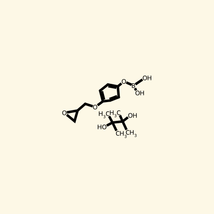 CC(C)(O)C(C)(C)O.OB(O)Oc1ccc(OCC2CO2)cc1